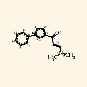 CN(C)/C=C/C(=O)c1ccc(-c2ccccc2)s1